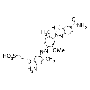 COC1=CC(N=Nc2ccc(C(N)=O)cc2C)=C(C)C=CC1N=Nc1cc(OCCCS(=O)(=O)O)c(N)cc1C